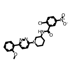 COc1ccccc1-c1ccc(N2CCCC(NC(=O)c3cc([N+](=O)[O-])ccc3Cl)C2)nn1